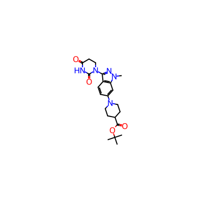 Cn1nc(N2CCC(=O)NC2=O)c2ccc(N3CCC(C(=O)OC(C)(C)C)CC3)cc21